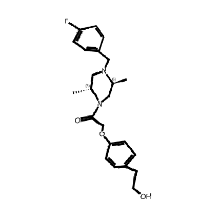 C[C@@H]1CN(Cc2ccc(F)cc2)[C@@H](C)CN1C(=O)COc1ccc(CCO)cc1